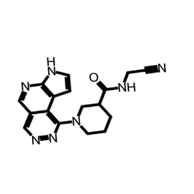 N#CCNC(=O)C1CCCN(c2nncc3cnc4[nH]ccc4c23)C1